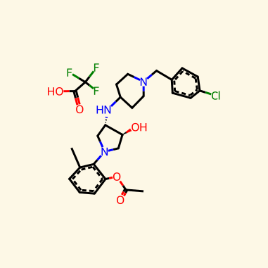 CC(=O)Oc1cccc(C)c1N1C[C@H](NC2CCN(Cc3ccc(Cl)cc3)CC2)[C@@H](O)C1.O=C(O)C(F)(F)F